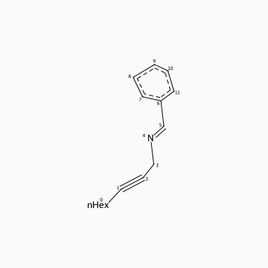 CCCCCCC#CC/N=C/c1ccccc1